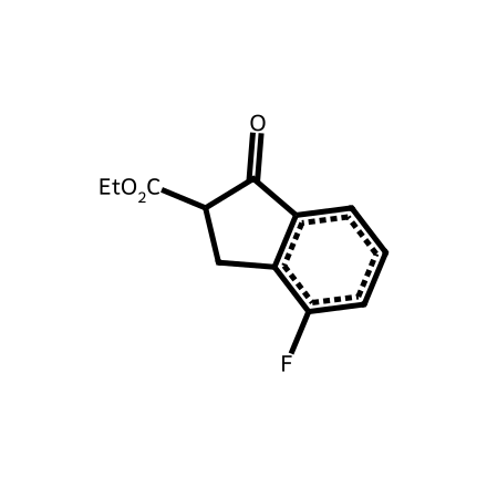 CCOC(=O)C1Cc2c(F)cccc2C1=O